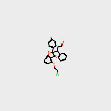 O=CCC(c1ccccc1)C1(c2ccc(Cl)cc2)Oc2cccc(OCCCl)c2C1=O